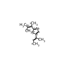 C/C=C(\C)c1cnc(C(C)=C(C)C)s1